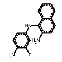 Nc1ccc(Nc2c(N)ccc3ccccc23)cc1F